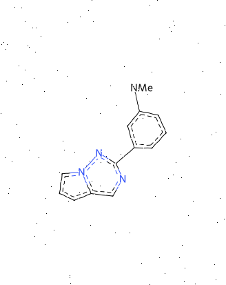 CNc1cccc(-c2ncc3cccn3n2)c1